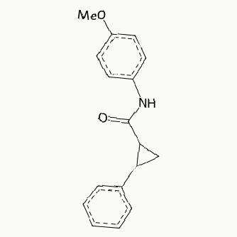 COc1ccc(NC(=O)C2CC2c2ccccc2)cc1